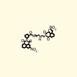 O=C(NCCCNCCN1C(=O)c2cccc3cc([N+](=O)[O-])cc(c23)C1=O)c1cccc(N2C(=O)c3cccc4cc([N+](=O)[O-])cc(c34)C2=O)c1